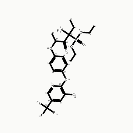 CCOP(=O)(OCC)C(N)(CC)C(=O)C(C)Oc1ccc(Oc2ncc(C(F)(F)F)cc2Cl)cc1